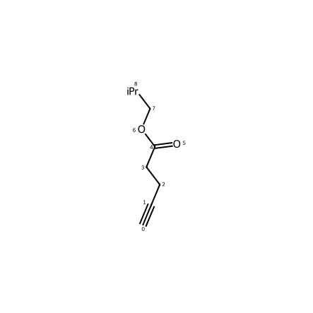 C#CCCC(=O)OCC(C)C